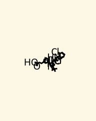 CC(C)(C)c1cc(NC(=O)Nc2c(Cl)cccc2Cl)n(-c2cccc(CCC(=O)O)c2)n1